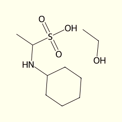 CC(NC1CCCCC1)S(=O)(=O)O.CCO